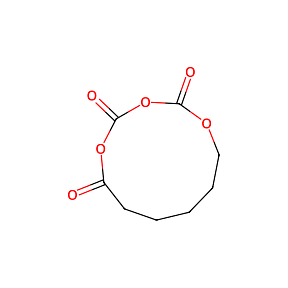 O=C1CCCCCOC(=O)OC(=O)O1